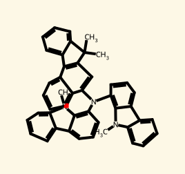 Cn1c2ccccc2c2cccc(N(c3cc4c(c5ccccc35)-c3ccccc3C4(C)C)c3cccc4c5ccccc5n(C)c34)c21